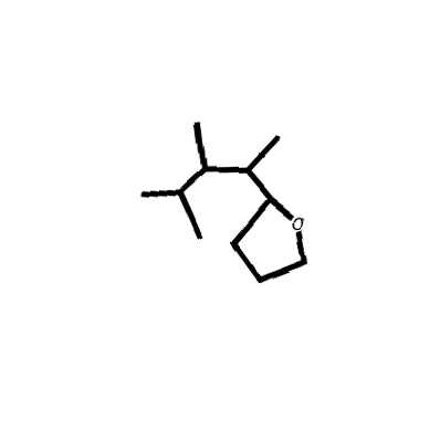 CC(C)C(C)C(C)C1CCCO1